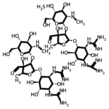 CN[C@@H]1[C@H](O[C@H]2[C@H](O[C@H]3[C@H](O)[C@@H](O)[C@H](NC(=N)N)[C@@H](O)[C@@H]3NC(=N)N)O[C@@H](C)[C@]2(O)C=O)O[C@@H](CO)[C@H](O)[C@H]1O.CN[C@@H]1[C@H](O[C@H]2[C@H](O[C@H]3[C@H](O)[C@@H](O)[C@H](NC(=N)N)[C@@H](O)[C@@H]3NC(=N)N)O[C@@H](C)[C@]2(O)C=O)O[C@@H](CO)[C@H](O)[C@H]1O.S